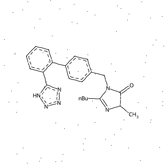 CCCCC1=NC(C)C(=O)N1Cc1ccc(-c2ccccc2-c2nnn[nH]2)cc1